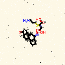 C[C@]12CCCCC1/C(=N/O)C[C@@H]1[C@@H]2CC[C@]2(C)C(=O)CC[C@@H]12.NCCCS/C(=C\C(=O)O)C(=O)O